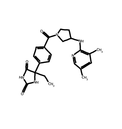 CCC1(c2ccc(C(=O)N3CCC(Nc4ncc(C)cc4C)C3)cc2)NC(=O)NC1=O